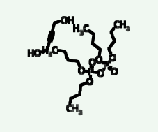 CCCCOP(=O)(OCCCC)OP(=O)(OCCCC)OCCCC.OCC#CCO